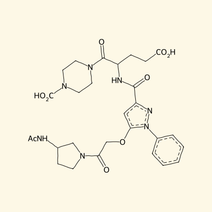 CC(=O)NC1CCN(C(=O)COc2cc(C(=O)NC(CCC(=O)O)C(=O)N3CCN(C(=O)O)CC3)nn2-c2ccccc2)C1